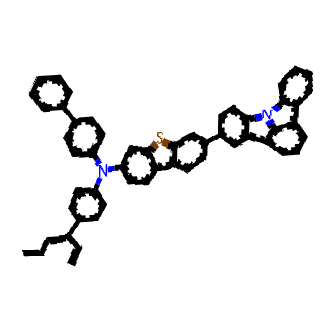 C=C/C=C(\C=C)c1ccc(N(c2ccc(-c3ccccc3)cc2)c2ccc3c(c2)sc2cc(-c4ccc5c(c4)c4cccc6c7ccccc7n5c64)ccc23)cc1